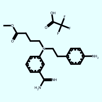 COC(=O)CCCN(CCc1ccc(N)cc1)c1cccc(C(=N)N)c1.O=C(O)C(F)(F)F